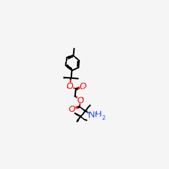 Cc1ccc(C(C)(C)OC(=O)COC(=O)C(C)(N)C(C)(C)C)cc1